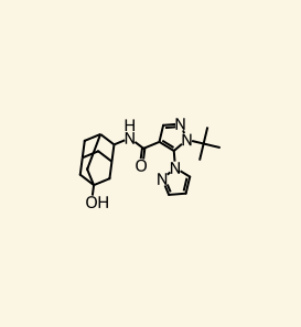 CC(C)(C)n1ncc(C(=O)NC2C3CC4CC2CC(O)(C4)C3)c1-n1cccn1